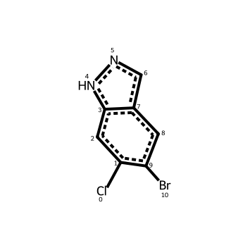 Clc1cc2[nH]ncc2cc1Br